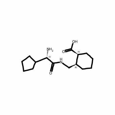 N[C@H](C(=O)NC[C@@H]1CCCC[C@@H]1C(=O)O)C1CCCC1